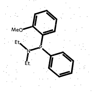 CCN(CC)P(c1ccccc1)c1ccccc1OC